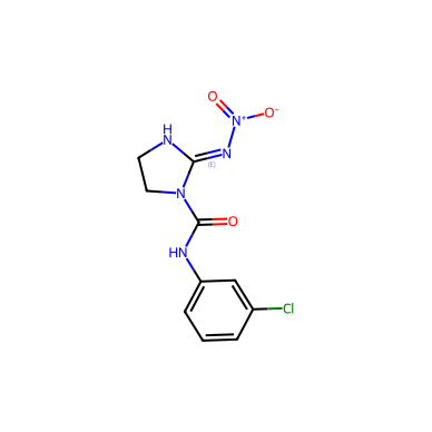 O=C(Nc1cccc(Cl)c1)N1CCN/C1=N\[N+](=O)[O-]